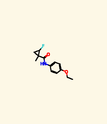 CCOc1ccc(NC(=O)C2(C)CC2F)cc1